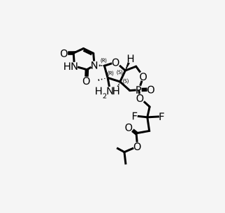 CC(C)OC(=O)CC(F)(F)COP1(=O)C[C@@H]2[C@@H](CO1)O[C@@H](n1ccc(=O)[nH]c1=O)[C@]2(C)N